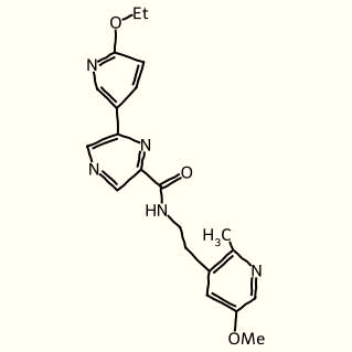 CCOc1ccc(-c2cncc(C(=O)NCCc3cc(OC)cnc3C)n2)cn1